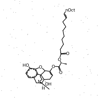 CCCCCCCC/C=C/CCCCCCCC(=O)O[C@@H](C)C(=O)OC1=CC[C@@]2(O)[C@H]3Cc4ccc(O)c5c4C2(CCN3C)C1O5